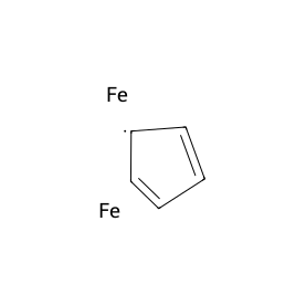 [CH]1C=CC=C1.[Fe].[Fe]